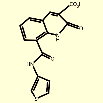 O=C(O)c1cc2cccc(C(=O)Nc3ccsc3)c2[nH]c1=O